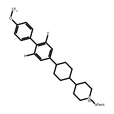 CCCCC[SiH]1CCC(C2CCC(c3cc(F)c(-c4ccc(OC(F)(F)F)cc4)c(F)c3)CC2)CC1